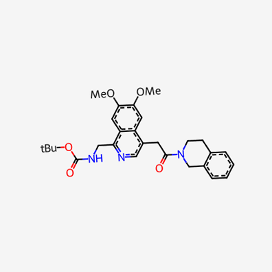 COc1cc2c(CC(=O)N3CCc4ccccc4C3)cnc(CNC(=O)OC(C)(C)C)c2cc1OC